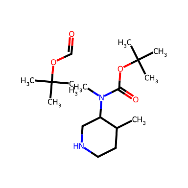 CC(C)(C)OC=O.CC1CCNCC1N(C)C(=O)OC(C)(C)C